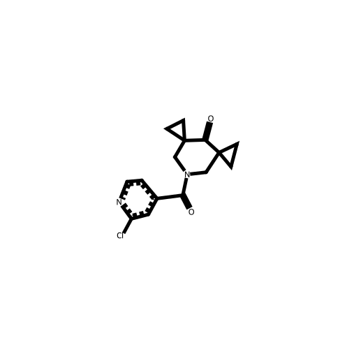 O=C(c1ccnc(Cl)c1)N1CC2(CC2)C(=O)C2(CC2)C1